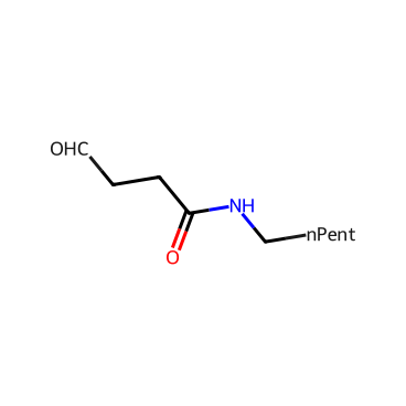 CCCCCCNC(=O)CCC=O